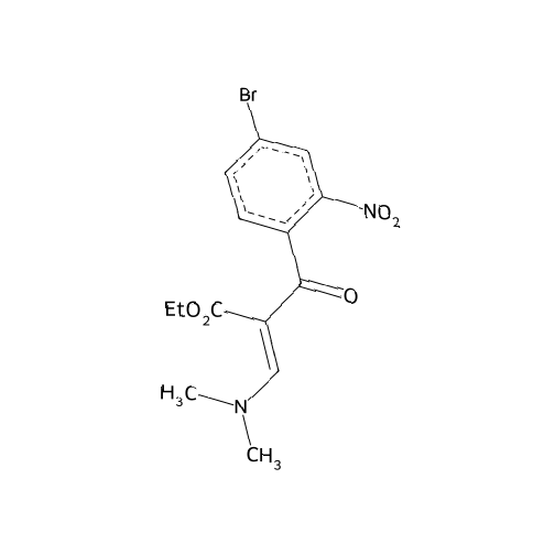 CCOC(=O)/C(=C\N(C)C)C(=O)c1ccc(Br)cc1[N+](=O)[O-]